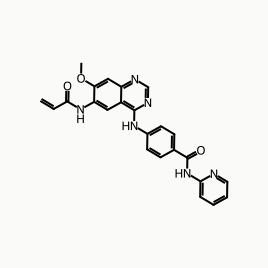 C=CC(=O)Nc1cc2c(Nc3ccc(C(=O)Nc4ccccn4)cc3)ncnc2cc1OC